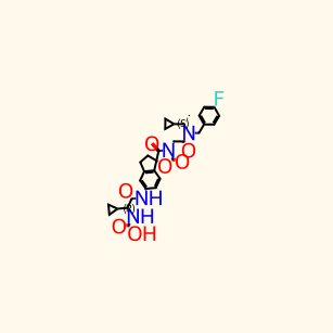 C[C@@H](C1CC1)N(Cc1ccc(F)cc1)C(=O)CN1C(=O)OC2(CCc3cc(NC(=O)[C@H](NC(=O)O)C4CC4)ccc32)C1=O